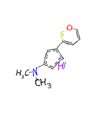 CN(C)c1ccc(C2=CC=COS2)cc1.I